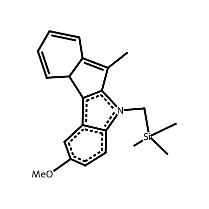 COc1ccc2c(c1)c1c(n2C[Si](C)(C)C)C(C)=C2C=CC=CC21